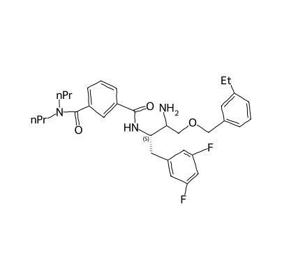 CCCN(CCC)C(=O)c1cccc(C(=O)N[C@@H](Cc2cc(F)cc(F)c2)C(N)COCc2cccc(CC)c2)c1